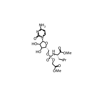 COC(=O)COP(=O)(N[C@@H](CC(C)C)C(=O)OC)OC[C@H]1O[C@H](n2ccc(N)nc2=O)[C@H](O)C1O